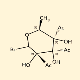 CC(=O)[C@]1(O)[C@@](O)(C(C)=O)C(Br)O[C@@H](C)[C@]1(O)C(C)=O